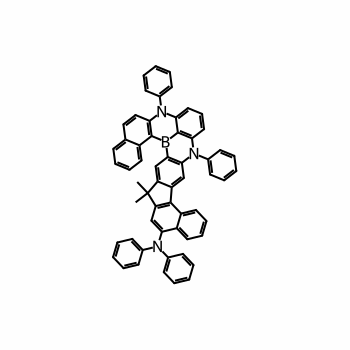 CC1(C)c2cc3c(cc2-c2c1cc(N(c1ccccc1)c1ccccc1)c1ccccc21)N(c1ccccc1)c1cccc2c1B3c1c(ccc3ccccc13)N2c1ccccc1